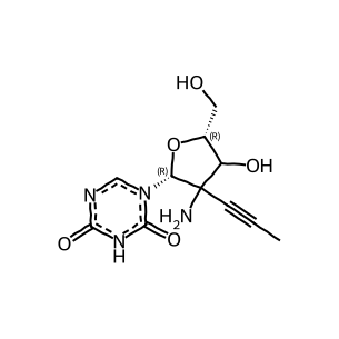 CC#CC1(N)C(O)[C@@H](CO)O[C@H]1n1cnc(=O)[nH]c1=O